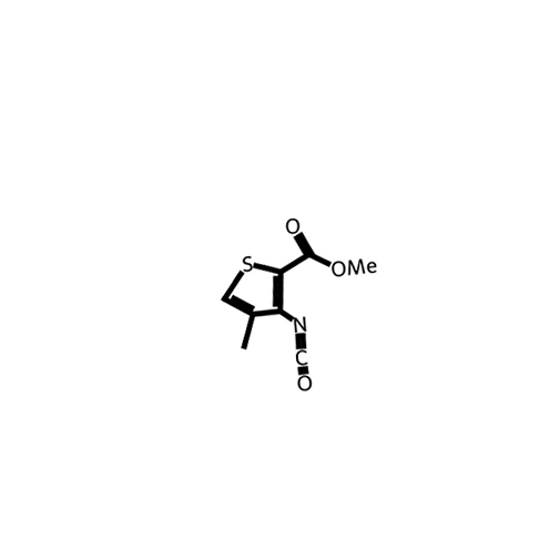 COC(=O)c1scc(C)c1N=C=O